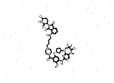 COc1cc(C(=O)N2CCN(CCCCNc3cccc4c3C(=O)N(C3CCC(=O)NC3=O)C4=O)CC2)c(F)cc1Nc1ncc2c(n1)N(C1CCCC1)CC(F)(F)C(=O)N2C